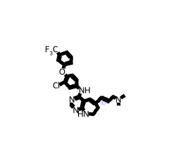 CN(C)C/C=C/C1=Cc2c(ncnc2Nc2ccc(Oc3cccc(C(F)(F)F)c3)c(Cl)c2)NCC1